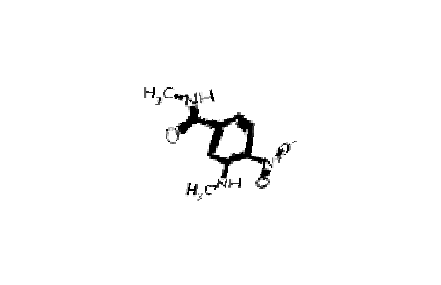 CNC(=O)c1ccc([N+](=O)[O-])c(NC)c1